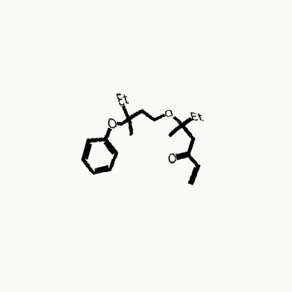 C=CC(=O)CC(C)(CC)OCCC(C)(CC)Oc1ccccc1